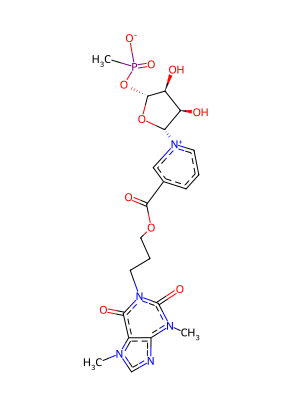 Cn1cnc2c1c(=O)n(CCCOC(=O)c1ccc[n+]([C@@H]3O[C@H](OP(C)(=O)[O-])[C@@H](O)[C@H]3O)c1)c(=O)n2C